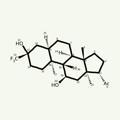 CC(=O)[C@H]1CC[C@@]2(C)[C@@H]3CC[C@@H]4C[C@](O)(C(F)(F)F)CC[C@]4(C)[C@H]3[C@H](O)C[C@]12C